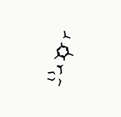 CC[N+](CC)(CC)CC(=O)Nc1c(C)cc(OC(C)C)cc1C